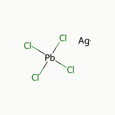 [Ag].[Cl][Pb]([Cl])([Cl])[Cl]